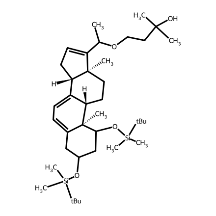 CC(OCCC(C)(C)O)C1=CC[C@H]2C3=CC=C4CC(O[Si](C)(C)C(C)(C)C)CC(O[Si](C)(C)C(C)(C)C)[C@]4(C)[C@H]3CC[C@]12C